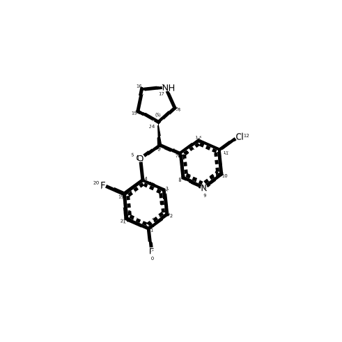 Fc1c[c]c(OC(c2cncc(Cl)c2)[C@H]2CCNC2)c(F)c1